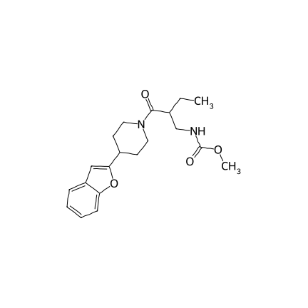 CCC(CNC(=O)OC)C(=O)N1CCC(c2cc3ccccc3o2)CC1